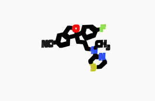 CN(CCCC1(c2ccc(F)cc2)OCc2cc(C#N)ccc21)C1=NCCSC1